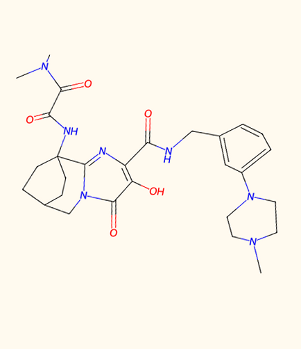 CN1CCN(c2cccc(CNC(=O)c3nc4n(c(=O)c3O)CC3CCC4(NC(=O)C(=O)N(C)C)CC3)c2)CC1